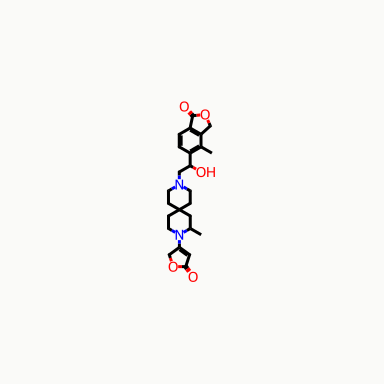 Cc1c(C(O)CN2CCC3(CC2)CCN(C2=CC(=O)OC2)C(C)C3)ccc2c1COC2=O